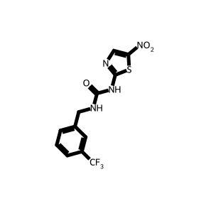 O=C(NCc1cccc(C(F)(F)F)c1)Nc1ncc([N+](=O)[O-])s1